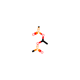 CC(O[PH](C)=O)O[PH](C)=O